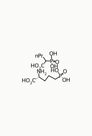 CCCC(C(=O)O)P(=O)(O)O.N[C@H](CCCP(=O)(O)O)C(=O)O